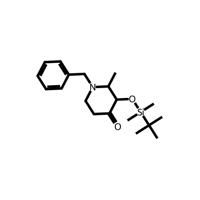 CC1C(O[Si](C)(C)C(C)(C)C)C(=O)CCN1Cc1ccccc1